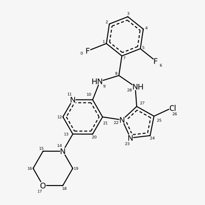 Fc1cccc(F)c1C1Nc2ncc(N3CCOCC3)cc2-n2ncc(Cl)c2N1